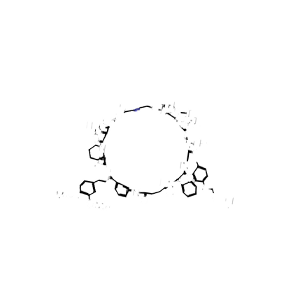 CCCN1CC(=O)N(C)[C@@H](CC(C)C)C(=O)N(C)CC/C=C/C(=O)OCC(C)(C)C(=O)C(=O)N2CCCC[C@H]2C(=O)O[C@H](CCc2ccc(OC)c(OC)c2)c2cccc(c2)NC(=O)CCC(=O)N[C@@H](c2ccccc2)C(=O)N[C@@H](Cc2ccc(OCC(=O)O)cc2)C1=O